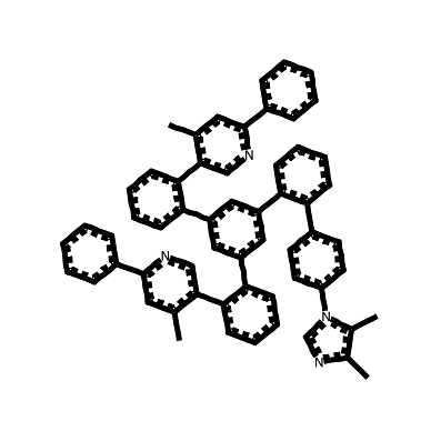 Cc1cc(-c2ccccc2)ncc1-c1ccccc1-c1cc(-c2ccccc2-c2ccc(-n3cnc(C)c3C)cc2)cc(-c2ccccc2-c2cnc(-c3ccccc3)cc2C)c1